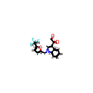 O=CC(=O)c1cn(Cc2ccc(C(F)(F)F)o2)c2ccccc12